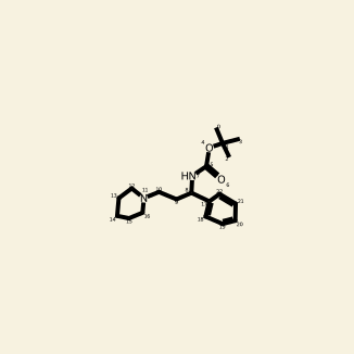 CC(C)(C)OC(=O)NC(CCN1CCCCC1)c1ccccc1